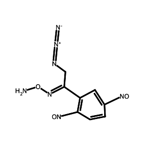 [N-]=[N+]=NCC(=NON)c1cc(N=O)ccc1N=O